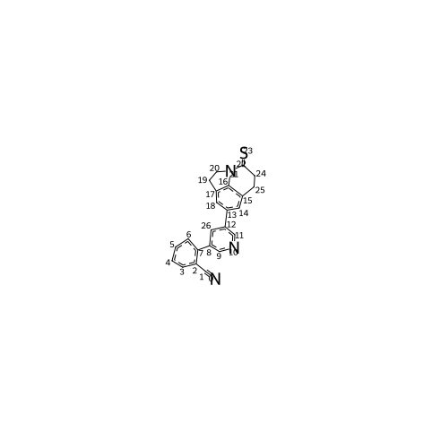 N#Cc1ccccc1-c1cncc(-c2cc3c4c(c2)CCN4C(=S)CC3)c1